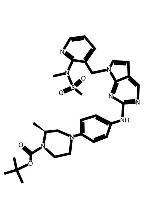 C[C@H]1CN(c2ccc(Nc3ncc4ccn(Cc5cccnc5N(C)S(C)(=O)=O)c4n3)cc2)CCN1C(=O)OC(C)(C)C